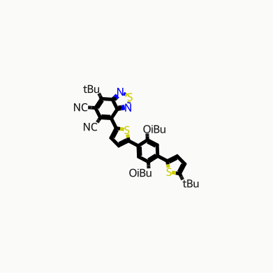 CC(C)COc1cc(-c2ccc(C(C)(C)C)s2)c(OCC(C)C)cc1-c1ccc(-c2c(C#N)c(C#N)c(C(C)(C)C)c3nsnc23)s1